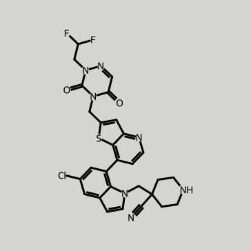 N#CC1(Cn2ccc3cc(Cl)cc(-c4ccnc5cc(Cn6c(=O)cnn(CC(F)F)c6=O)sc45)c32)CCNCC1